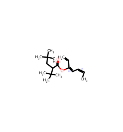 C=C/C(=C\C=C/C)OC(=O)C(CC(C)(C)C)C(C)(C)C